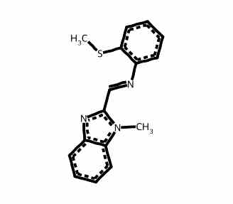 CSc1ccccc1/N=C/c1nc2ccccc2n1C